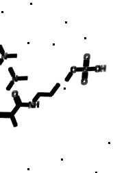 C=C(C)C(=O)NCCC.CN(C)C.CN(C)C.COS(=O)(=O)O